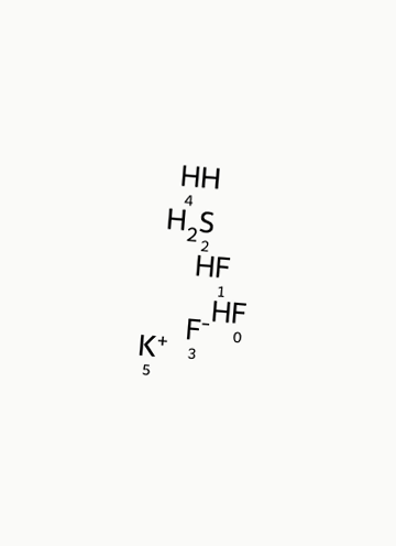 F.F.S.[F-].[HH].[K+]